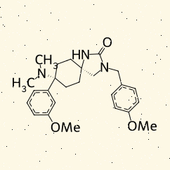 COc1ccc(CN2C[C@]3(CC[C@@](c4cccc(OC)c4)(N(C)C)CC3)NC2=O)cc1